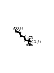 CCCCC(C#N)(CCCCCC(=O)O)C(=O)OCC